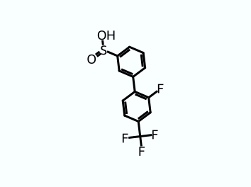 O=S(O)c1cccc(-c2ccc(C(F)(F)F)cc2F)c1